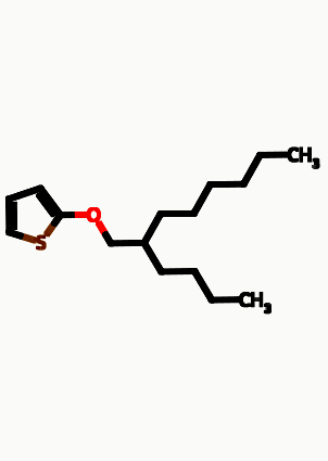 CCCCCCC(CCCC)COc1cccs1